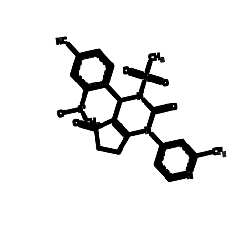 C[S+]([O-])c1cc(C#N)ccc1C1C2=C(CCC2=O)N(c2ccnc(C(F)(F)F)c2)C(=O)N1S(C)(=O)=O